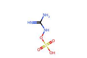 N=C(N)NOS(=O)(=O)O